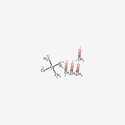 C=O.C=O.C=O.C=O.[CH3][Ge]([CH3])([CH3])[Co]